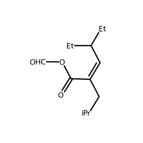 CCC(C=C(CC(C)C)C(=O)OC=O)CC